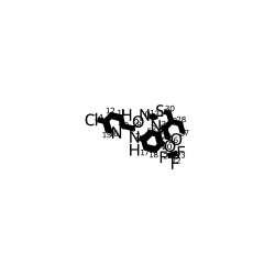 NC1=N[C@@]2(c3cc(NC(=O)c4ccc(Cl)cn4)ccc3OC(F)(F)F)COCCC2CS1